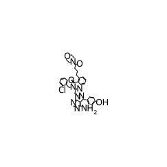 Nc1ncnc2c1c(-c1ccc(O)cc1)nn2Cc1nc2cccc(CCCC(=O)N3CCOCC3)c2c(=O)n1Cc1ccccc1Cl